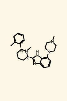 Cc1ccccc1[C@@H]1CCC[C@H](c2nc3cccc(N4CCN(C)CC4)c3[nH]2)N1C